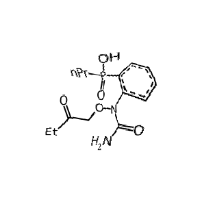 CCCP(=O)(O)c1ccccc1N(OCC(=O)CC)C(N)=O